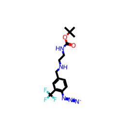 CC(C)(C)OC(=O)NCCNCc1ccc(N=[N+]=[N-])c(C(F)(F)F)c1